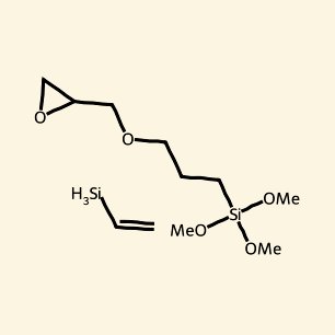 C=C[SiH3].CO[Si](CCCOCC1CO1)(OC)OC